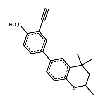 C#Cc1cc(-c2ccc3c(c2)C(C)(C)CC(C)S3)ccc1C(=O)O